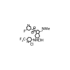 CNCc1cn(S(=O)(=O)c2cncc(F)c2)c2cc(Nc3ccc(C(F)(F)F)nc3Cl)ccc12.Cl